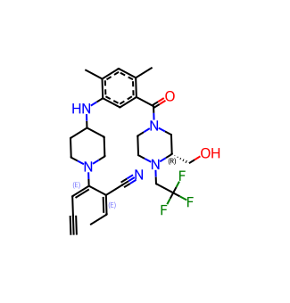 C#C/C=C(\C(C#N)=C/C)N1CCC(Nc2cc(C(=O)N3CCN(CC(F)(F)F)[C@@H](CO)C3)c(C)cc2C)CC1